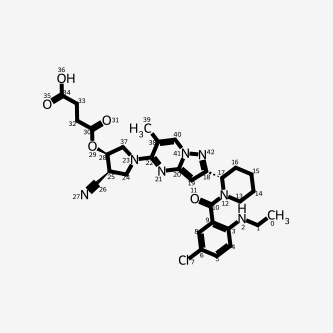 CCNc1ccc(Cl)cc1C(=O)N1CCCC[C@H]1c1cc2nc(N3C[C@@H](C#N)[C@@H](OC(=O)CCC(=O)O)C3)c(C)cn2n1